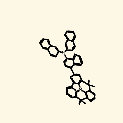 CC1(C)c2cccc3c2-n2c4c1cccc4c1cc(-c4ccc(N(c5ccc6ccccc6c5)c5ccc6ccccc6c5)c5ccccc45)cc(c12)C3(C)C